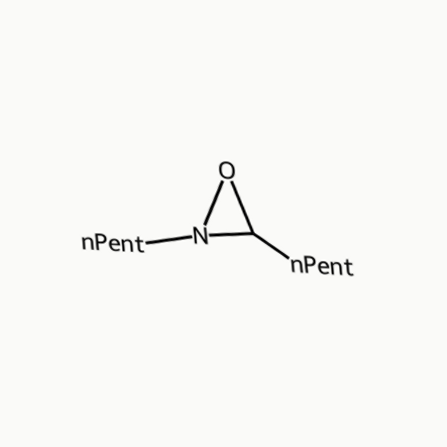 CCCCCC1ON1CCCCC